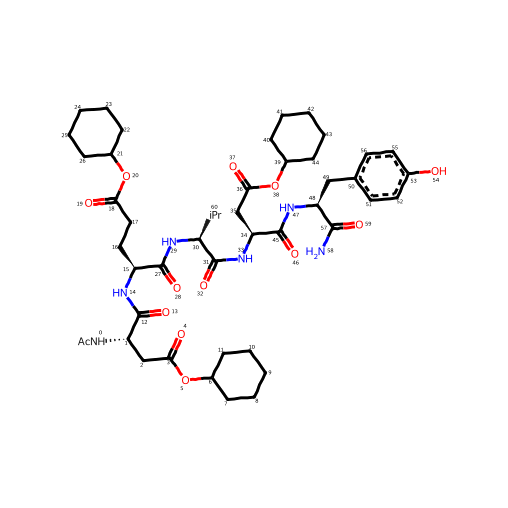 CC(=O)N[C@@H](CC(=O)OC1CCCCC1)C(=O)N[C@@H](CCC(=O)OC1CCCCC1)C(=O)N[C@H](C(=O)N[C@@H](CC(=O)OC1CCCCC1)C(=O)N[C@@H](Cc1ccc(O)cc1)C(N)=O)C(C)C